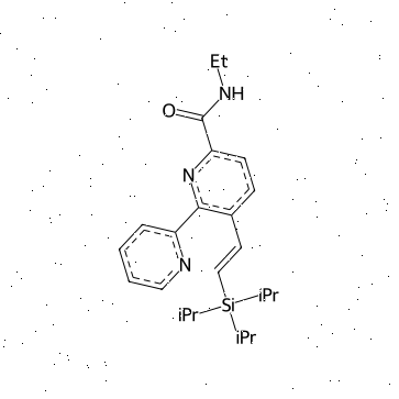 CCNC(=O)c1ccc(/C=C/[Si](C(C)C)(C(C)C)C(C)C)c(-c2ccccn2)n1